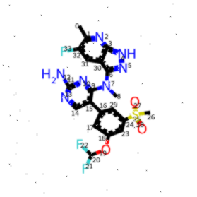 Cc1nc2[nH]nc(N(C)c3nc(N)ncc3-c3cc(OC(F)F)cc(S(C)(=O)=O)c3)c2cc1F